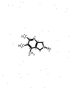 CC(=O)N1Cc2nc(C)c(C)c(C)c2C1